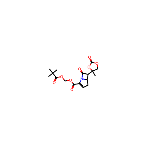 CC(C)(C)C(=O)OCOC(=O)C1=CCC2C(C3(C)COC(=O)O3)C(=O)N12